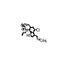 C=CCN1c2c(cc(Cl)c3c(C=NO)c[nH]c23)CNS1(=O)=O